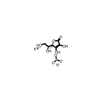 O=C1O[C@H]([C@@H](O)CO)C(O)=C1O.[K+].[K+].[K+].[O-]B([O-])[O-]